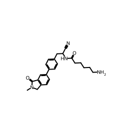 CN1Cc2ccc(-c3ccc(CC(C#N)NC(=O)CCCCCN)cc3)cc2C1=O